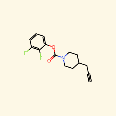 C#CCC1CCN(C(=O)Oc2cccc(F)c2F)CC1